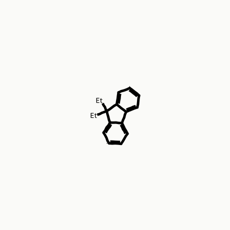 CCC1(CC)c2c[c]ccc2-c2cc[c]cc21